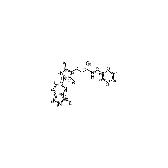 Cc1nn(-c2ccc3nnc(C)n3n2)c(C)c1CCC(=O)NCc1ccccc1